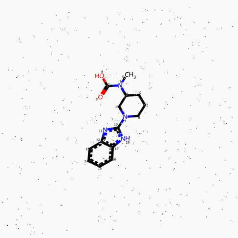 CN(C(=O)O)C1CCCN(c2nc3ccccc3[nH]2)C1